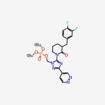 CC(C)(C)OP(=O)(OCn1nc(-c2ccnnc2)nc1N1CCCC(Cc2ccc(F)c(F)c2)C1=O)OC(C)(C)C